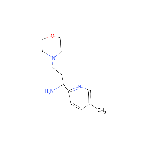 Cc1ccc(C(N)CCN2CCOCC2)nc1